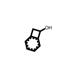 OC1Cc2c[c]ccc21